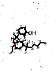 CCCCCC(C)(C)c1cccc(O)c1Sc1c(O)cccc1C(C)(C)CCCCC